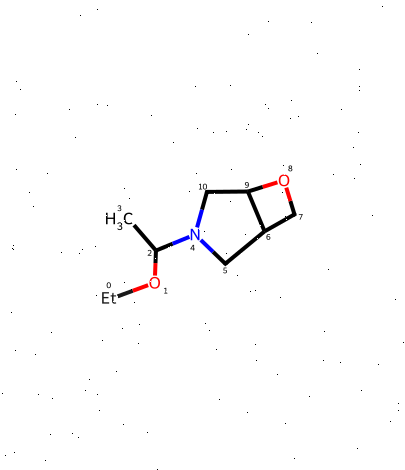 CCOC(C)N1CC2COC2C1